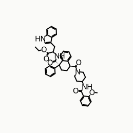 CCOC(=O)C(Cc1c[nH]c2ccccc12)NC(=O)[C@@]1(c2ccccc2)CC[C@H](C(=O)N2CCC(NC(=O)c3ccccc3OC)CC2)c2ccccc21